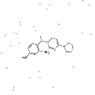 CC(c1ccc(C2CCCC2)cc1)c1ccc(N)cc1N